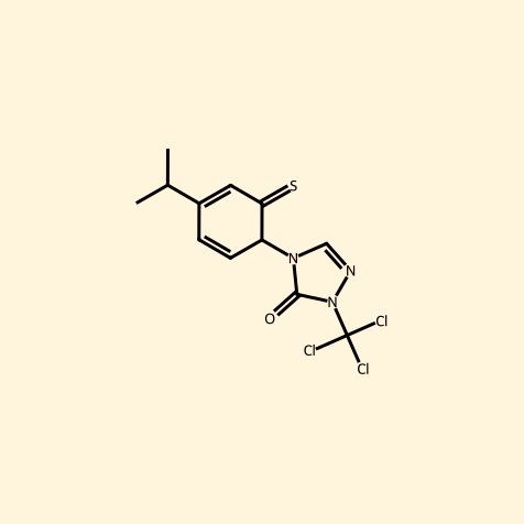 CC(C)C1=CC(=S)C(n2cnn(C(Cl)(Cl)Cl)c2=O)C=C1